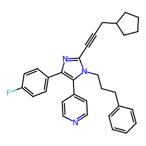 Fc1ccc(-c2nc(C#CCC3CCCC3)n(CCCc3ccccc3)c2-c2ccncc2)cc1